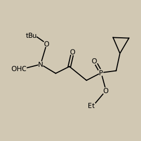 CCOP(=O)(CC(=O)CN(C=O)OC(C)(C)C)CC1CC1